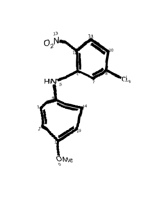 COc1ccc(Nc2cc(Cl)ccc2[N+](=O)[O-])cc1